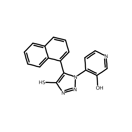 Oc1cnccc1-n1nnc(S)c1-c1cccc2ccccc12